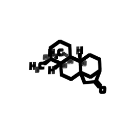 C[C@H]1CCC[C@]2(C)[C@@H]1CCC13CC(=O)C(CC[C@H]12)C3